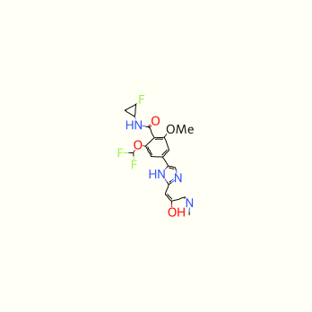 C/N=C\C(O)=C/c1ncc(-c2cc(OC)c(C(=O)N[C@@H]3C[C@@H]3F)c(OC(F)F)c2)[nH]1